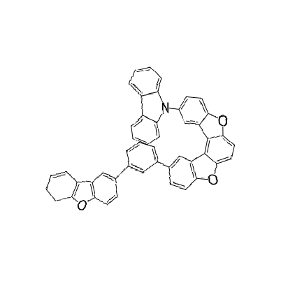 C1=Cc2c(oc3ccc(-c4cccc(-c5ccc6oc7ccc8oc9ccc(-n%10c%11ccccc%11c%11ccccc%11%10)cc9c8c7c6c5)c4)cc23)CC1